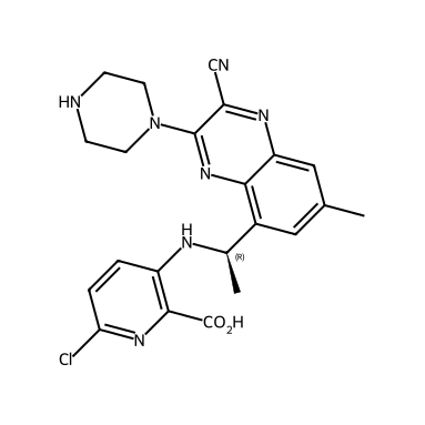 Cc1cc([C@@H](C)Nc2ccc(Cl)nc2C(=O)O)c2nc(N3CCNCC3)c(C#N)nc2c1